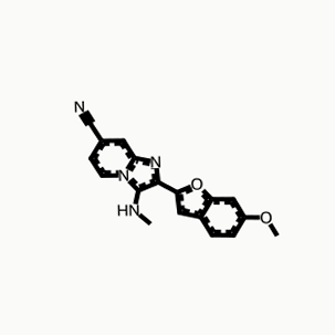 CNc1c(-c2cc3ccc(OC)cc3o2)nc2cc(C#N)ccn12